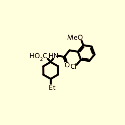 CCC1CCC(NC(=O)Cc2c(Cl)cccc2OC)(C(=O)O)CC1